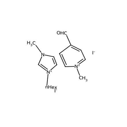 CCCCCC[n+]1ccn(C)c1.C[n+]1ccc(C=O)cc1.[I-].[I-]